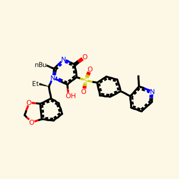 CCCCc1nc(=O)c(S(=O)(=O)c2ccc(-c3cccnc3C)cc2)c(O)n1[C@H](CC)c1cccc2c1OCO2